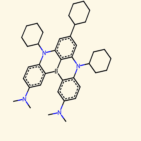 CN(C)c1ccc2c(c1)B1c3cc(N(C)C)ccc3N(C3CCCCC3)c3cc(C4CCCCC4)cc(c31)N2C1CCCCC1